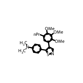 CCCc1cc(-c2cnsc2-c2ccc(N(C)C)cc2)c(OC)c(OC)c1OC